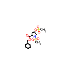 CS(=O)(=O)O[C@@H]1CC(C(=O)OCc2ccccc2)N(S(C)(=O)=O)C1